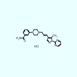 Cc1c(/C=C/CN2CCN(c3cccc(C(N)=O)c3)CC2)cnn1-c1ncccn1.Cl